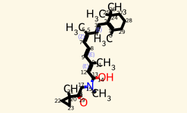 CC1=C(/C=C/C(C)=C\C=C\C(C)=C\C(O)N(C)CC(=O)C2(C)CC2)C(C)(C)CCC1